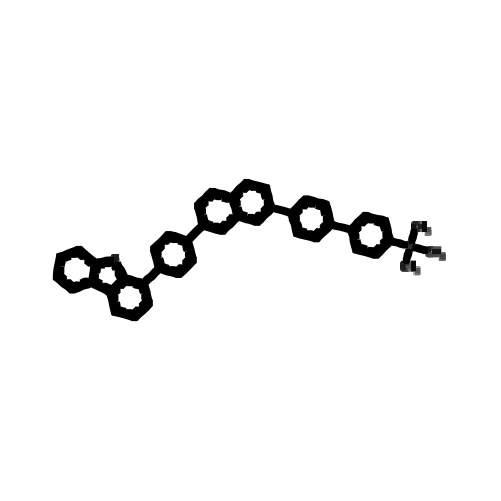 C[Si](C)(C)c1ccc(-c2ccc(-c3ccc4ccc(-c5ccc(-c6cccc7c6sc6ccccc67)cc5)cc4c3)cc2)cc1